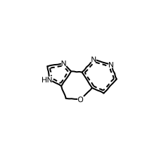 c1cc2c(nn1)-c1nc[nH]c1CO2